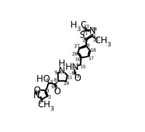 Cc1cc(C(O)C(=O)[C@H]2CN[C@H](C(=O)NCc3ccc(-c4sc(C)nc4C)cc3)C2)on1